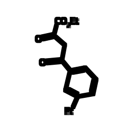 CCOC(=O)C(=O)CC(=O)c1cccc(CC)c1